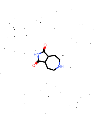 O=C1NC(=O)C2CCNCCC12